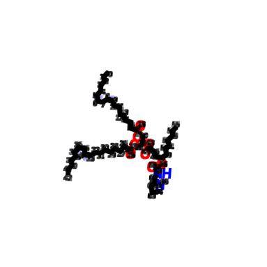 CCCCC/C=C\C/C=C\CCCCCCCC(=O)OCC(COC(=O)CCCCCCC/C=C\C/C=C\CCCCC)OC(=O)CCC(CCCCCCC)OC(=O)NCC1CCCN1C